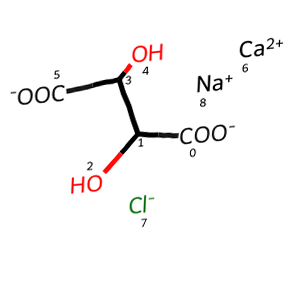 O=C([O-])C(O)C(O)C(=O)[O-].[Ca+2].[Cl-].[Na+]